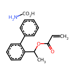 C=CC(=O)OC(C)c1ccccc1-c1ccccc1.NC(=O)O